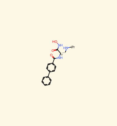 CC(C)NC[C@H](NC(=O)c1ccc(-c2ccccc2)cc1)C(=O)NO